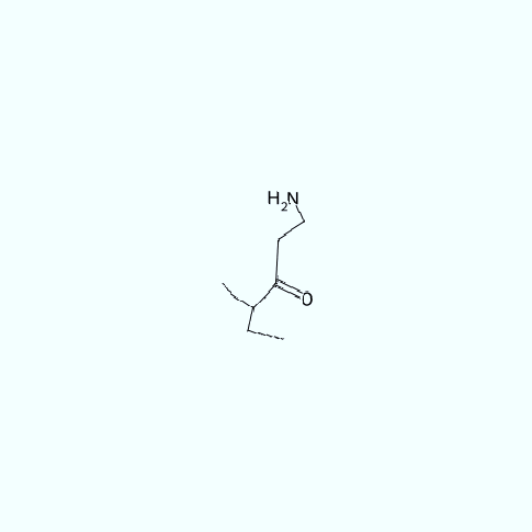 CCC(C)C(=O)CCN